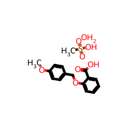 COc1ccc(COc2ccccc2C(=O)O)cc1.CS(=O)(=O)O.O